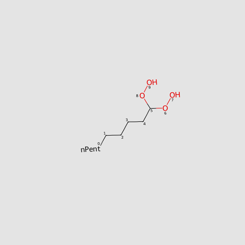 CCCCCCCCCC(OO)OO